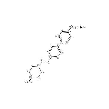 CCCCCCOc1cnc(-c2ccc(CC[C@H]3CC[C@H](CCCC)CC3)cc2)nc1